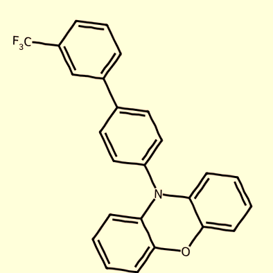 FC(F)(F)c1cccc(-c2ccc(N3c4ccccc4Oc4ccccc43)cc2)c1